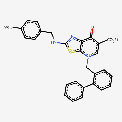 CCOC(=O)c1cn(Cc2ccccc2-c2ccccc2)c2sc(NCc3ccc(OC)cc3)nc2c1=O